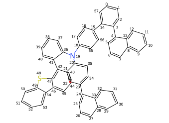 c1ccc(-c2cccc3ccccc23)c(-c2ccc(N(c3ccc(-c4cccc5ccccc45)cc3)c3ccccc3-c3cccc4c3sc3ccccc34)cc2)c1